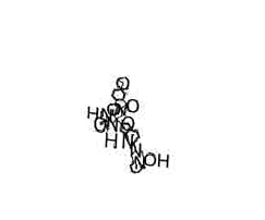 COc1ccc2c(c1)C(=O)N(C[C@@]1(c3cc4nc(N(CCO)Cc5ccccn5)ccc4o3)NC(=O)NC1=O)C2